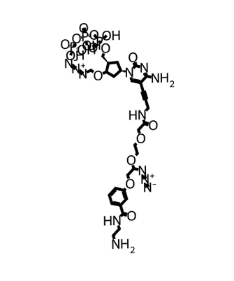 [N-]=[N+]=NCOC1C[C@H](n2cc(C#CCNC(=O)COCCOC(COc3cccc(C(=O)NCCN)c3)N=[N+]=[N-])c(N)nc2=O)C[C@@H]1COP(=O)(O)OP(=O)(O)OP(=O)(O)O